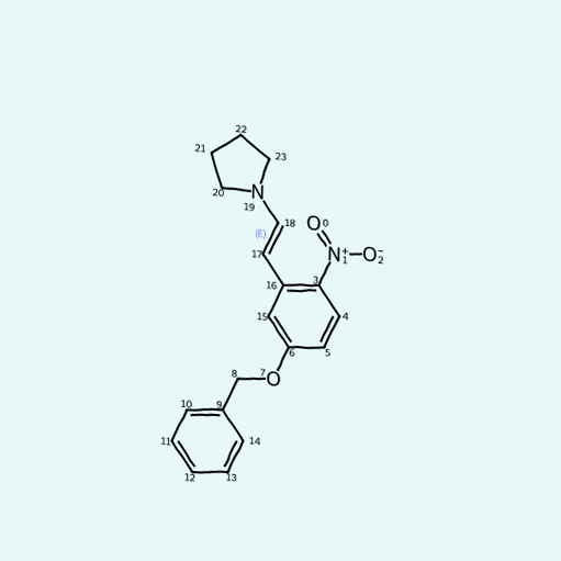 O=[N+]([O-])c1ccc(OCc2ccccc2)cc1/C=C/N1CCCC1